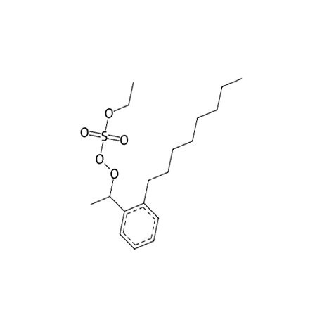 CCCCCCCCc1ccccc1C(C)OOS(=O)(=O)OCC